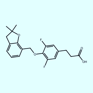 CC1(C)Cc2cccc(COc3c(F)cc(CCC(=O)O)cc3F)c2O1